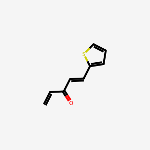 C=CC(=O)C=Cc1cccs1